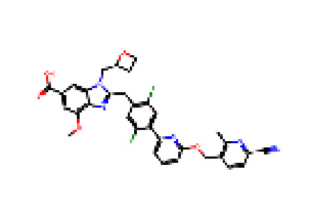 COc1cc(C(=O)O)cc2c1nc(Cc1cc(F)c(-c3cccc(OCc4ccc(C#N)nc4C)n3)cc1F)n2CC1CCO1